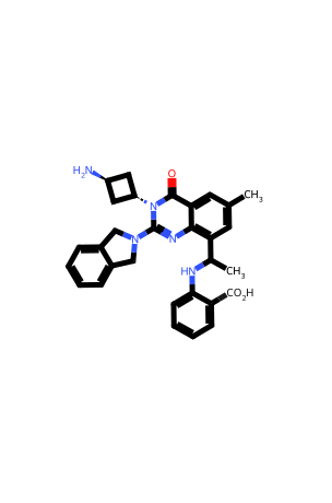 Cc1cc(C(C)Nc2ccccc2C(=O)O)c2nc(N3Cc4ccccc4C3)n([C@H]3C[C@H](N)C3)c(=O)c2c1